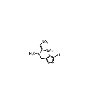 CN/C(=C\[N+](=O)[O-])N(C)Cc1cnc(Cl)s1